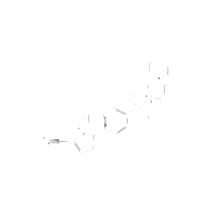 CN1C(C#N)=CCC1c1ccc(S(=O)(=O)NCC(F)(F)F)cc1